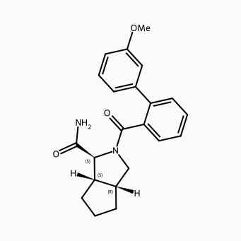 COc1cccc(-c2ccccc2C(=O)N2C[C@@H]3CCC[C@@H]3[C@H]2C(N)=O)c1